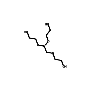 OCCOCN(OCCO)OCCO